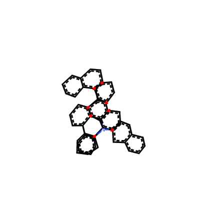 c1ccc(-c2ccccc2-c2c(-c3ccccc3)cccc2-c2ccccc2N(c2ccc(-c3cccc4ccccc34)cc2)c2ccc3ccccc3c2)cc1